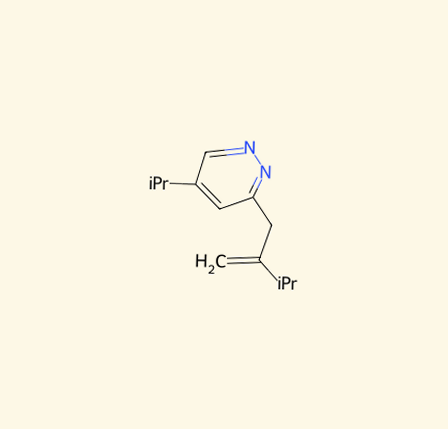 C=C(Cc1cc(C(C)C)cnn1)C(C)C